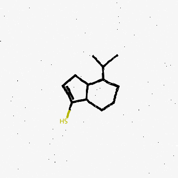 CC(C)C1CCCC2C(S)=CCC21